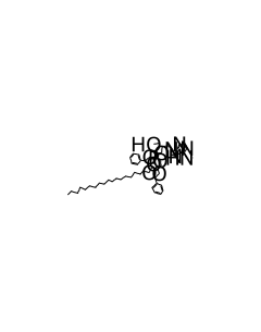 CCCCCCCCCCCCCCCCCCOC[C@@H](COP(=O)(CO[C@H](CO)Cn1cnc2c(NC)ncnc21)OCc1ccccc1)OCc1ccccc1